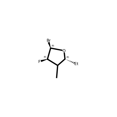 CC[C@H]1O[C@H](Br)[C@H](F)C1C